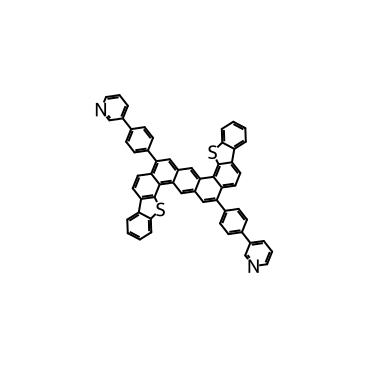 c1cncc(-c2ccc(-c3cc4cc5c(cc(-c6ccc(-c7cccnc7)cc6)c6ccc7c8ccccc8sc7c65)cc4c4c3ccc3c5ccccc5sc34)cc2)c1